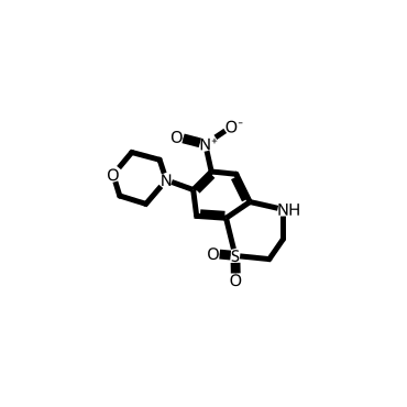 O=[N+]([O-])c1cc2c(cc1N1CCOCC1)S(=O)(=O)CCN2